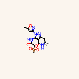 Cc1cc(-n2nc3c(c2NC(=O)CS(C)(=O)=O)C(=O)N[C@@H](C)C3)no1